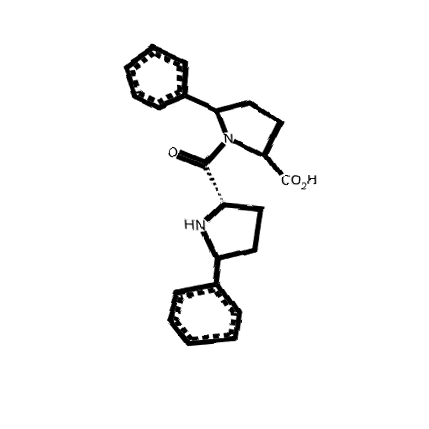 O=C(O)C1CCC(c2ccccc2)N1C(=O)[C@@H]1CCC(c2ccccc2)N1